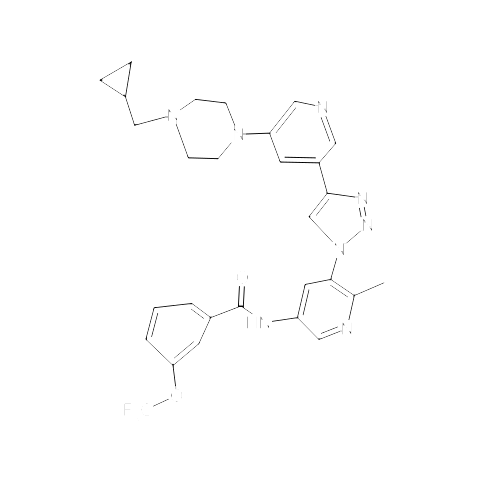 Cc1ncc(NC(=O)c2cccc(OC(F)(F)F)c2)cc1-n1cc(-c2cncc(N3CCN(CC4CC4)CC3)c2)nn1